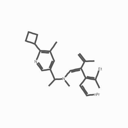 C=C(C)C(=C/N(C)C(C)c1cnc(C2CCC2)c(C)c1)/C(/C=C\CCC)=C(/C)CC